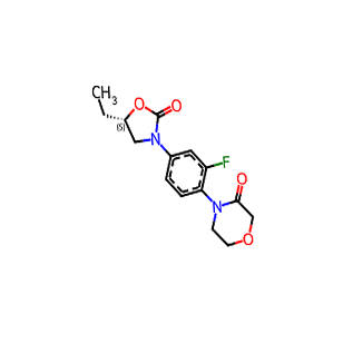 CC[C@H]1CN(c2ccc(N3CCOCC3=O)c(F)c2)C(=O)O1